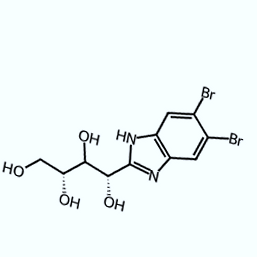 OC[C@@H](O)C(O)[C@@H](O)c1nc2cc(Br)c(Br)cc2[nH]1